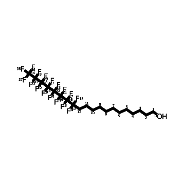 OCCCCCCCCCCCCC(F)(F)C(F)(F)C(F)(F)C(F)(F)C(F)(F)C(F)(F)C(F)(F)C(F)(F)F